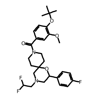 COc1cc(C(=O)N2CCC3(CC2)CN(CC(F)F)CC(c2ccc(F)cc2)O3)ccc1OC(C)(C)C